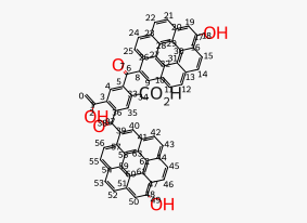 C=C(O)c1cc(C(=O)c2cc3ccc4ccc5c(O)cc6ccc7ccc2c2c7c6c5c4c32)c(C(=O)O)cc1C(=O)c1cc2ccc3ccc4c(O)cc5ccc6ccc1c1c6c5c4c3c21